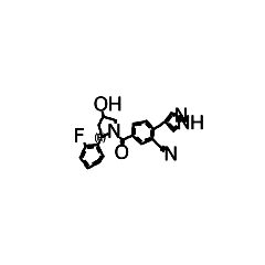 N#Cc1cc(C(=O)N2CC(O)C[C@@H]2c2ccccc2F)ccc1-c1cn[nH]c1